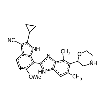 COc1ncc2c(C#N)c(C3CC3)[nH]c2c1-c1nc2c(C)c(C3CNCCO3)c(C)cc2[nH]1